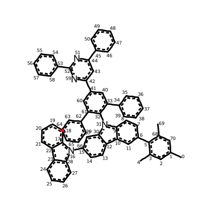 Cc1cc(C)c(-c2ccc3c(c2)c2ccc(-n4c5ccccc5c5ccccc54)cc2n3-c2c(-c3ccccc3)cc(-c3cc(-c4ccccc4)nc(-c4ccccc4)n3)cc2-c2ccccc2)c(C)c1